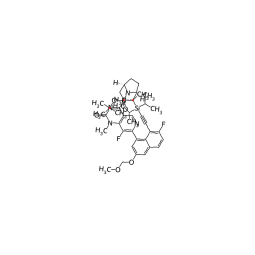 COCOc1cc(-c2ncc3c(N4C[C@H]5CC[C@@H](C4)N5C(=O)OC(C)(C)C)nc(=O)n(C)c3c2F)c2c(C#C[Si](C(C)C)(C(C)C)C(C)C)c(F)ccc2c1